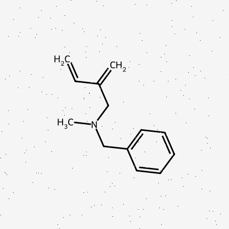 C=CC(=C)CN(C)Cc1ccccc1